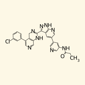 CCC(=O)Nc1cncc(-c2cnc3[nH]nc(C4=NCc5c(cncc5-c5cccc(Cl)c5)N4)c3c2)c1